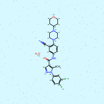 Cc1c(C(=O)Nc2ccc(N3CCN(C4CCOCC4)CC3)c(C#N)c2)cnn1-c1ccc(F)c(F)c1.O